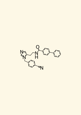 N#Cc1ccc(Cn2cncc2CCNC(=O)c2ccc(-c3ccccc3)cc2)cc1